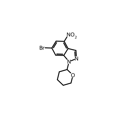 O=[N+]([O-])c1cc(Br)cc2c1cnn2C1CCCCO1